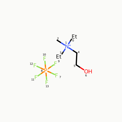 CC[N+](C)(CC)CCO.F[P-](F)(F)(F)(F)F